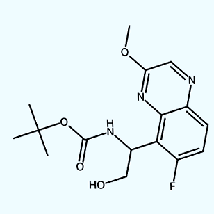 COc1cnc2ccc(F)c(C(CO)NC(=O)OC(C)(C)C)c2n1